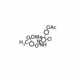 COC(=O)c1cc(Oc2nc3cc(-c4ccc(OC(C)=O)cc4)c(Cl)cc3[nH]2)ccc1C